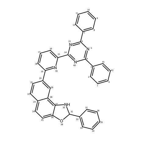 c1ccc(-c2nc(-c3ccccc3)nc(-c3cccc(-c4ccc5ccc6c(c5c4)NC(c4ccccc4)O6)n3)n2)cc1